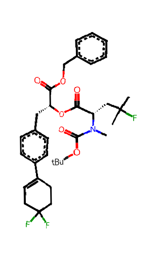 CN(C(=O)OC(C)(C)C)[C@@H](CC(C)(C)F)C(=O)O[C@H](Cc1ccc(C2=CCC(F)(F)CC2)cc1)C(=O)OCc1ccccc1